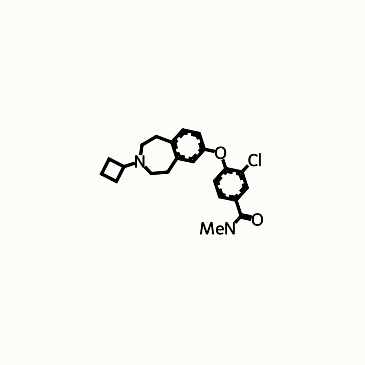 CNC(=O)c1ccc(Oc2ccc3c(c2)CCN(C2CCC2)CC3)c(Cl)c1